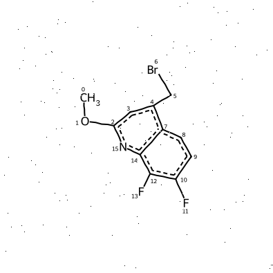 COc1cc(CBr)c2ccc(F)c(F)c2n1